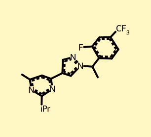 Cc1cc(-c2cnn(C(C)c3ccc(C(F)(F)F)cc3F)c2)nc(C(C)C)n1